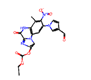 CCOC(=O)Oc1cn2c(n1)c(=O)[nH]c1c(C)c([N+](=O)[O-])c(-n3ccc(C=O)c3)cc12